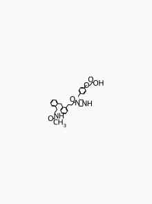 CC(=O)NCCc1ccccc1Cc1ccccc1CCC(=O)N1CCNC[C@H]1Cc1ccc(OCC(=O)O)cc1